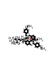 COc1ccc(CN(Cc2ccc(OC)cc2)S(=O)(=O)c2c(S(=O)(=O)NCCN(C(=O)O)C(C)(C)C)ccc(I)c2-c2nnnn2Cc2ccc(OC)cc2)cc1